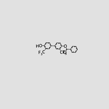 O=C(Oc1ccc(-c2ccc(O)c(C(F)(F)F)c2)cc1C(F)(F)F)c1ccccc1